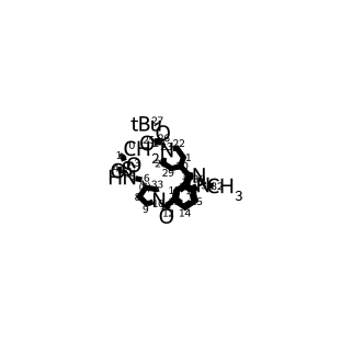 C=CS(=O)(=O)NC[C@H]1CCN(C(=O)c2ccc3c(c2)c(C2CCN(C(=O)OC(C)(C)C)CC2)nn3C)C1